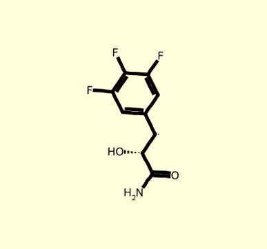 NC(=O)[C@H](O)[CH]c1cc(F)c(F)c(F)c1